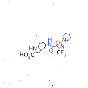 O=C(O)c1cc2cc(NC(=O)c3oc(N4CCCCC4)nc3C(F)(F)F)ccc2[nH]1